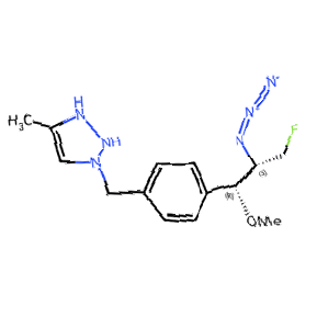 CO[C@H](c1ccc(CN2C=C(C)NN2)cc1)[C@@H](CF)N=[N+]=[N-]